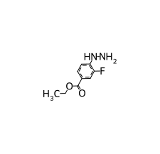 CCOC(=O)c1ccc(NN)c(F)c1